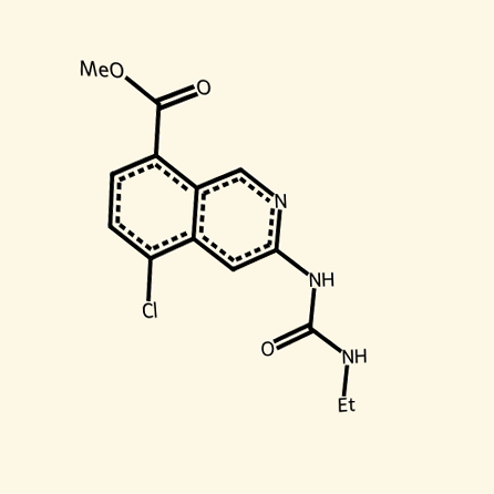 CCNC(=O)Nc1cc2c(Cl)ccc(C(=O)OC)c2cn1